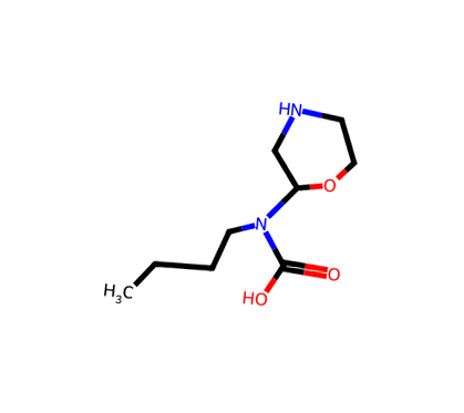 CCCCN(C(=O)O)C1CNCCO1